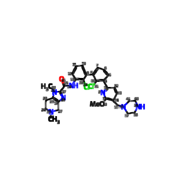 COc1nc(-c2cccc(-c3cccc(NC(=O)c4nc5c(n4C)CCN(C)C5)c3Cl)c2Cl)ccc1CN1CCNCC1